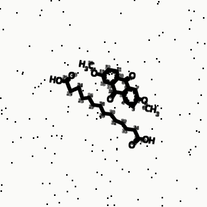 COc1ccc2c(c1)C(=O)c1ccc(OC)cc1C2=O.O=C(O)CCCCCCCCCCCCC(=O)O